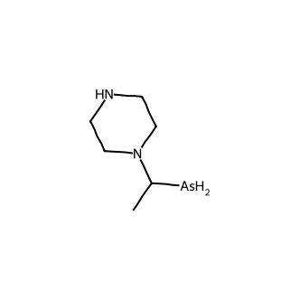 CC([AsH2])N1CCNCC1